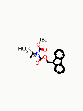 C[C@@H](C(=O)O)N(C(=O)OCC1c2ccccc2-c2ccccc21)C(=O)OC(C)(C)C